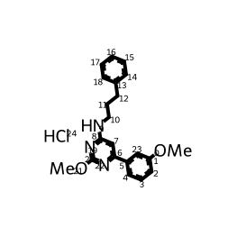 COc1cccc(-c2cc(NCCCc3ccccc3)nc(OC)n2)c1.Cl